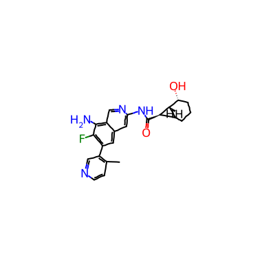 Cc1ccncc1-c1cc2cc(NC(=O)[C@@H]3[C@H]4CCC[C@@H](O)[C@H]43)ncc2c(N)c1F